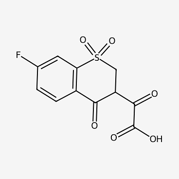 O=C(O)C(=O)C1CS(=O)(=O)c2cc(F)ccc2C1=O